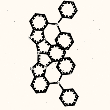 c1ccc(N(c2ccccc2)c2cccc3nc4n(c5cccc6c5n4c4nc5cccc(N(c7ccccc7)c7ccccc7)c5n64)c23)cc1